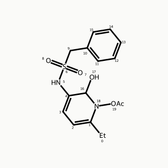 CCC1=CC=C(NS(=O)(=O)Cc2ccccc2)C(O)N1OC(C)=O